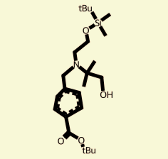 CC(C)(C)OC(=O)c1ccc(CN(CCO[Si](C)(C)C(C)(C)C)C(C)(C)CO)cc1